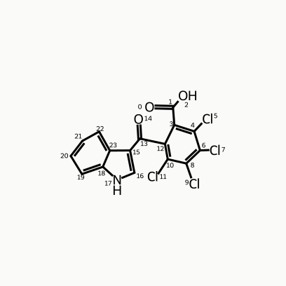 O=C(O)c1c(Cl)c(Cl)c(Cl)c(Cl)c1C(=O)c1c[nH]c2ccccc12